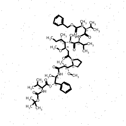 CC[C@H](C)[C@@H]([C@@H](CC(=O)N1CCC[C@H]1[C@H](OC)[C@@H](C)C(=O)N[C@H](C)[C@@H](OC(=O)[C@@H](NC(=O)OC(C)(C)C)C(C)C)c1ccccc1)OC)N(C)C(=O)[C@@H](NC(=O)[C@H](C(C)C)N(C)C(=O)OCc1ccccc1)C(C)C